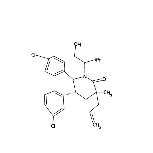 C=CC[C@@]1(C)C[C@H](c2cccc(Cl)c2)C(c2ccc(Cl)cc2)N(C(CO)C(C)C)C1=O